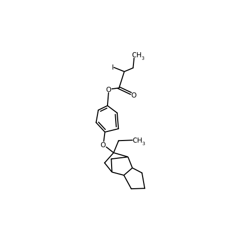 CCC(I)C(=O)Oc1ccc(OC2(CC)CC3CC2C2CCCC32)cc1